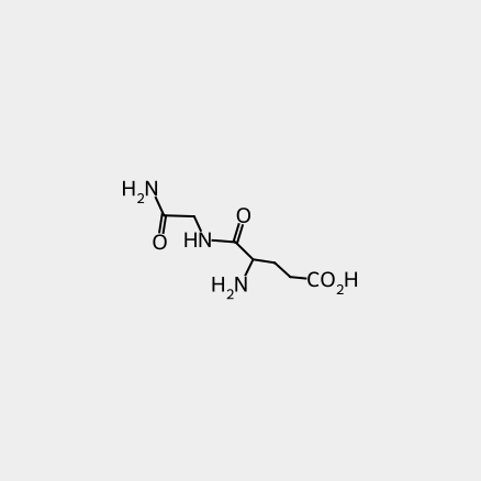 NC(=O)CNC(=O)C(N)CCC(=O)O